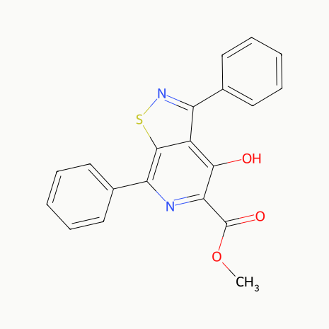 COC(=O)c1nc(-c2ccccc2)c2snc(-c3ccccc3)c2c1O